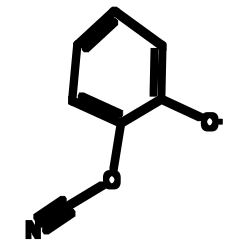 N#COc1ccccc1[O]